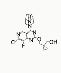 OCC1(COc2nc(N3CC4CCC(C3)N4)c3cnc(Cl)c(F)c3n2)CC1